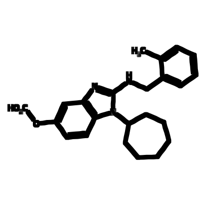 Cc1ccccc1CNc1nc2cc(OC(=O)O)ccc2n1C1CCCCCC1